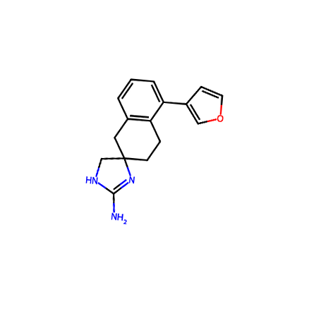 NC1=NC2(CCc3c(cccc3-c3ccoc3)C2)CN1